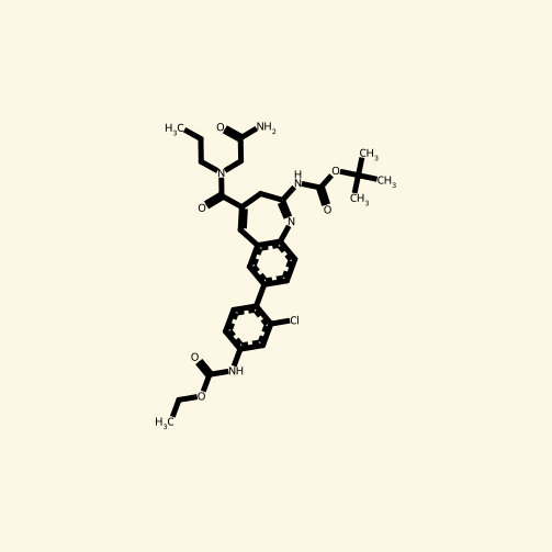 CCCN(CC(N)=O)C(=O)C1=Cc2cc(-c3ccc(NC(=O)OCC)cc3Cl)ccc2N=C(NC(=O)OC(C)(C)C)C1